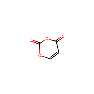 O=c1ccoc(=O)o1